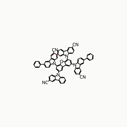 N#Cc1ccc2c(c1)c1ccccc1n2-c1cc(-n2c3ccc(C#N)cc3c3cc(-c4ccccc4)ccc32)c2oc3c(-n4c5ccccc5c5cc(C#N)ccc54)cc(-n4c5ccc(C#N)cc5c5cc(-c6ccccc6)ccc54)cc3c2c1